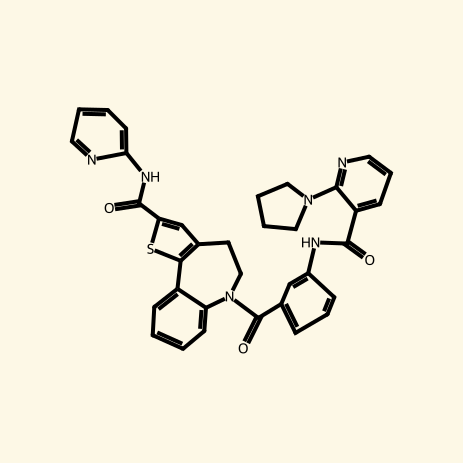 O=C(Nc1ccccn1)c1cc2c(s1)-c1ccccc1N(C(=O)c1cccc(NC(=O)c3cccnc3N3CCCC3)c1)CC2